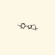 CNCc1ccc(-c2sc3c(c2C(=O)O)CC(C)(C)CC3)cc1O